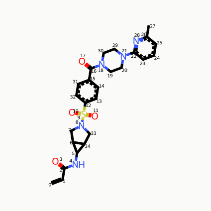 C=CC(=O)NC1C2CN(S(=O)(=O)c3ccc(C(=O)N4CCN(c5cccc(C)n5)CC4)cc3)CC21